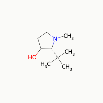 CN1CCC(O)[C@H]1C(C)(C)C